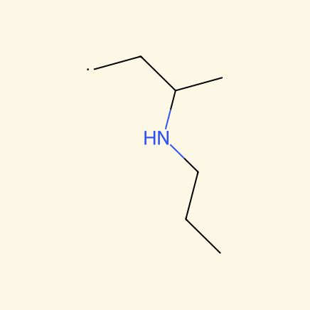 [CH2]CC(C)NCCC